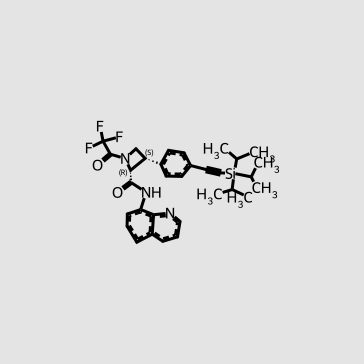 CC(C)[Si](C#Cc1ccc([C@H]2CN(C(=O)C(F)(F)F)[C@H]2C(=O)Nc2cccc3cccnc23)cc1)(C(C)C)C(C)C